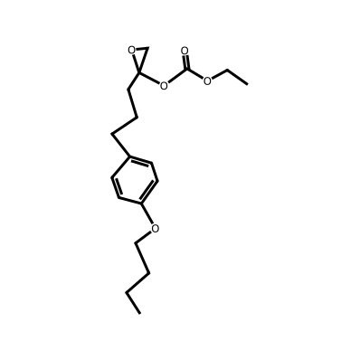 CCCCOc1ccc(CCCC2(OC(=O)OCC)CO2)cc1